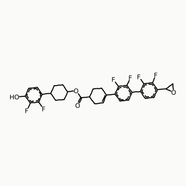 O=C(OC1CCC(c2ccc(O)c(F)c2F)CC1)C1CC=C(c2ccc(-c3ccc(C4CO4)c(F)c3F)c(F)c2F)CC1